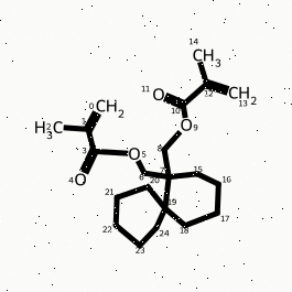 C=C(C)C(=O)OCC1(COC(=O)C(=C)C)CCCCC12CCCCC2